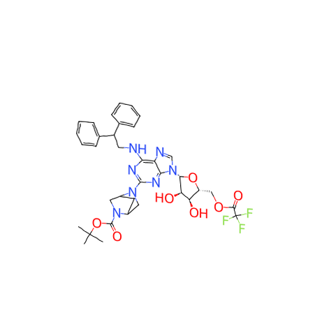 CC(C)(C)OC(=O)N1CC2CC1CN2c1nc(NCC(c2ccccc2)c2ccccc2)c2ncn([C@@H]3O[C@H](COC(=O)C(F)(F)F)[C@@H](O)[C@H]3O)c2n1